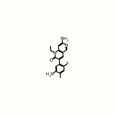 CCn1c(=O)c(-c2cc(N)c(C)cc2F)cc2cnc(N)cc21